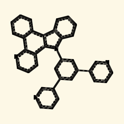 c1cncc(-c2cc(-c3cccnc3)cc(-n3c4ccccc4c4c5ccccc5c5ncccc5c43)c2)c1